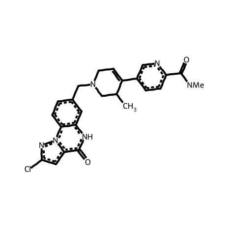 CNC(=O)c1ccc(C2=CCN(Cc3ccc4c(c3)[nH]c(=O)c3cc(Cl)nn34)CC2C)cn1